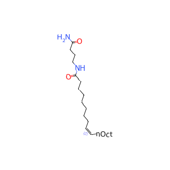 CCCCCCCC/C=C\CCCCCCCC(=O)NCCCC(N)=O